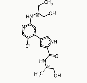 CC[C@@H](CO)Nc1cc(-c2c[nH]c(C(=O)N[C@@H](C)CO)c2)c(Cl)cn1